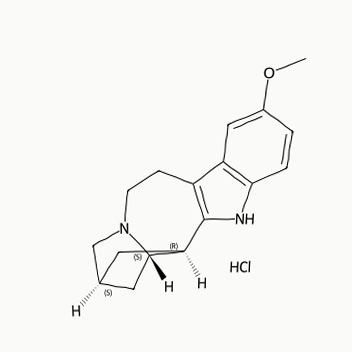 COc1ccc2[nH]c3c(c2c1)CCN1C[C@H]2C[C@@H]3[C@@H]1C2.Cl